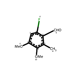 COc1cc(F)c(C=O)c(C)c1OC